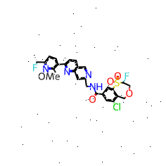 COc1nc([C@@H](C)F)ccc1-c1ccc2cnc(CNC(=O)c3cc(Cl)c4c(c3)S(=O)(=O)[C@@H](F)COC4)cc2n1